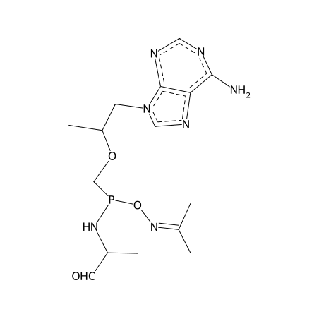 CC(C)=NOP(COC(C)Cn1cnc2c(N)ncnc21)NC(C)C=O